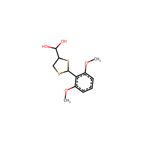 COc1cccc(OC)c1C1SCC(C(O)O)S1